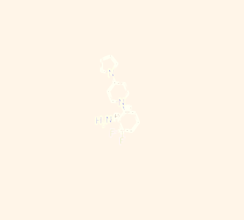 N[C@@H]1[C@@H](N2CCC(N3CCCC3)CC2)CCCC1(F)F